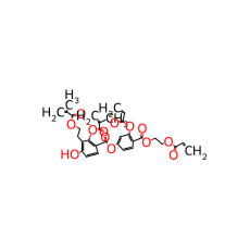 C=CC(=O)OCCOC(=O)c1ccc(OC(=O)c2ccc(O)c(CCOC(=O)C(=C)C)c2OC(=O)C(=C)C)cc1OC(=O)C=C